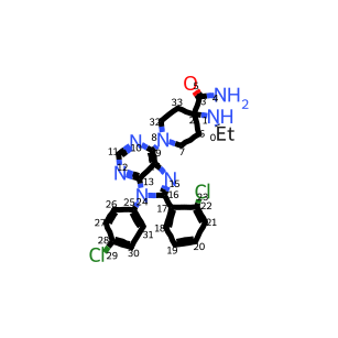 CCNC1(C(N)=O)CCN(c2ncnc3c2nc(-c2ccccc2Cl)n3-c2ccc(Cl)cc2)CC1